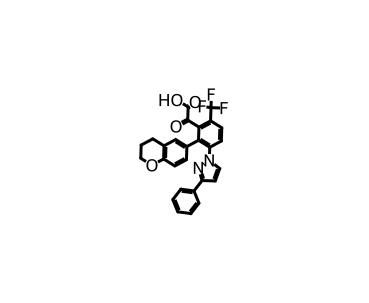 O=C(O)C(=O)c1c(C(F)(F)F)ccc(-n2ccc(-c3ccccc3)n2)c1-c1ccc2c(c1)CCCO2